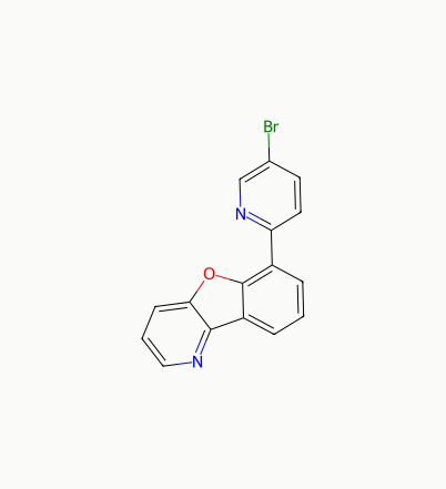 Brc1ccc(-c2cccc3c2oc2cccnc23)nc1